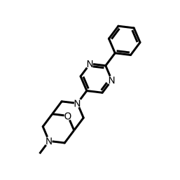 CN1CC2CN(c3cnc(-c4ccccc4)nc3)CC(C1)O2